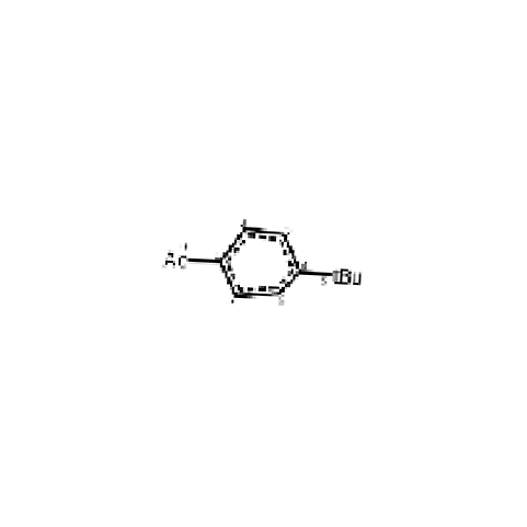 [CH2]C(=O)c1ccc(C(C)(C)C)cc1